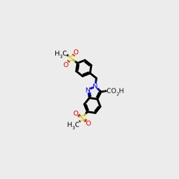 CS(=O)(=O)c1ccc(Cn2nc3cc(S(C)(=O)=O)ccc3c2C(=O)O)cc1